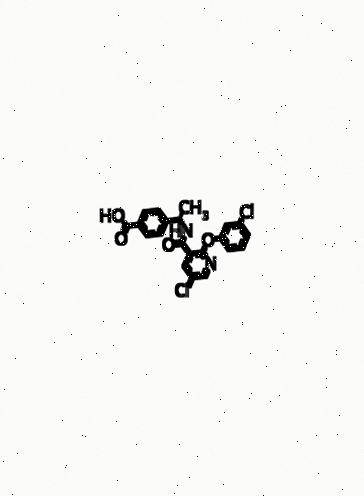 C[C@H](NC(=O)c1cc(Cl)cnc1Oc1cccc(Cl)c1)c1ccc(C(=O)O)cc1